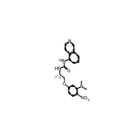 C[C@@H](COc1ccc([N+](=O)[O-])c(N(C)C)c1)NC(=O)Nc1cccc2cnccc12